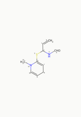 C=CC(NC=O)SC1=CCC=CN1C